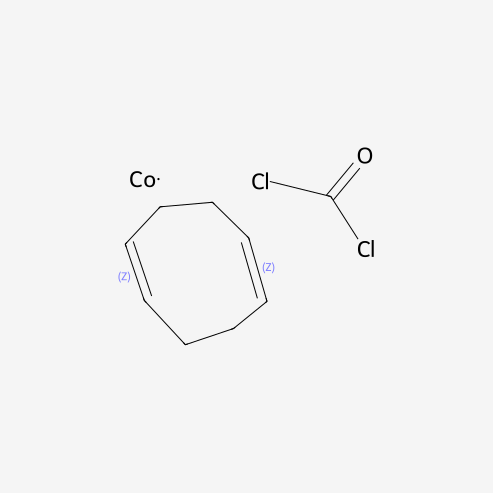 C1=C\CC/C=C\CC/1.O=C(Cl)Cl.[Co]